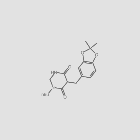 CCCCN1CNC(=O)C(Cc2ccc3c(c2)OC(C)(C)O3)C1=O